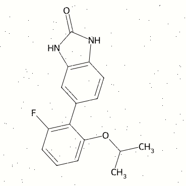 CC(C)Oc1cccc(F)c1-c1ccc2[nH]c(=O)[nH]c2c1